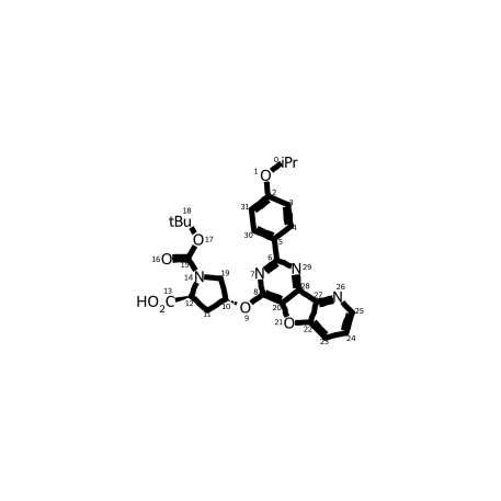 CC(C)Oc1ccc(-c2nc(O[C@@H]3C[C@@H](C(=O)O)N(C(=O)OC(C)(C)C)C3)c3oc4cccnc4c3n2)cc1